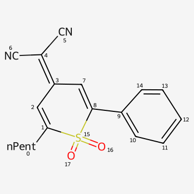 CCCCCC1=CC(=C(C#N)C#N)C=C(c2ccccc2)S1(=O)=O